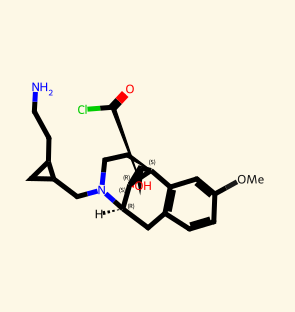 COc1ccc2c(c1)[C@]13CCN(CC4CC4CCN)[C@H](C2)[C@]1(O)C[C@H](C(=O)Cl)C3